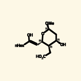 CCCCCCC(O)=C[C@@H]1O[C@@H](OC)C[C@@H](O)[C@H]1CC(=O)O